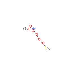 CC(=O)SCCOCCOCCOCCONC(=O)OC(C)(C)C